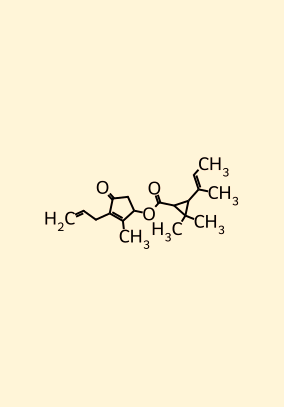 C=CCC1=C(C)C(OC(=O)C2C(C(C)=CC)C2(C)C)CC1=O